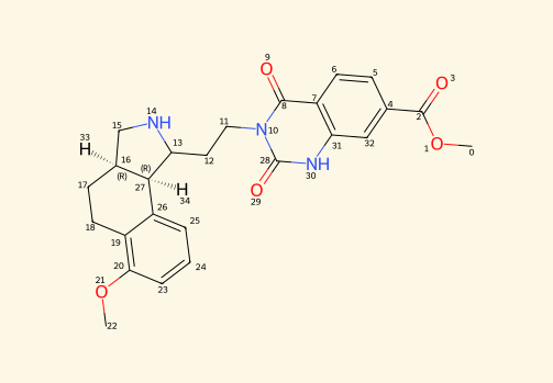 COC(=O)c1ccc2c(=O)n(CCC3NC[C@@H]4CCc5c(OC)cccc5[C@H]34)c(=O)[nH]c2c1